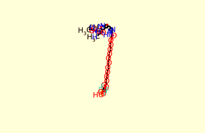 CCCN(OCCNC(=O)OC(C)C)C(=O)C1=Cc2cc(Cc3cnc(CNC(=O)CCOCCOCCOCCOCCOCCOCCOCCOCCOCCOCCC(=O)Oc4c(F)c(F)c(S(=O)(=O)O)c(F)c4F)nc3)ccc2N=C(N)C1